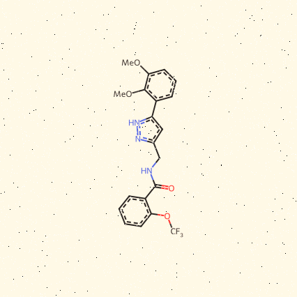 COc1cccc(-c2cc(CNC(=O)c3ccccc3OC(F)(F)F)n[nH]2)c1OC